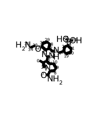 Cc1cn2c(C(N)=O)cccc2c1-c1nc(NCc2cccc(B(O)O)c2)c2cccc(OCCN)c2n1